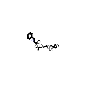 CCC1(COCCOC(C)OC(=O)/C=C/c2ccccc2)COC1